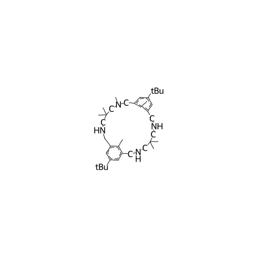 Cc1c2cc(C(C)(C)C)cc1CNCC(C)(C)CN(C)Cc1cc(C(C)(C)C)cc(c1C)CNCC(C)(C)CNC2